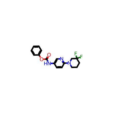 O=C(Nc1ccc(N2CCCC(F)(F)C2)nc1)Oc1ccccc1